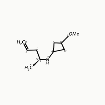 C=CC[C@H](C)NC1CC(OC)C1